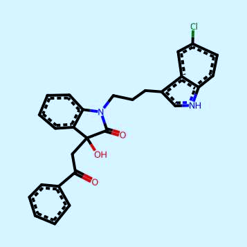 O=C(CC1(O)C(=O)N(CCCc2c[nH]c3ccc(Cl)cc23)c2ccccc21)c1ccccc1